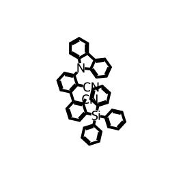 N#Cc1c(-c2cccc([Si](c3ccccc3)(c3ccccc3)c3ccccc3)c2C#N)cccc1-n1c2ccccc2c2ccccc21